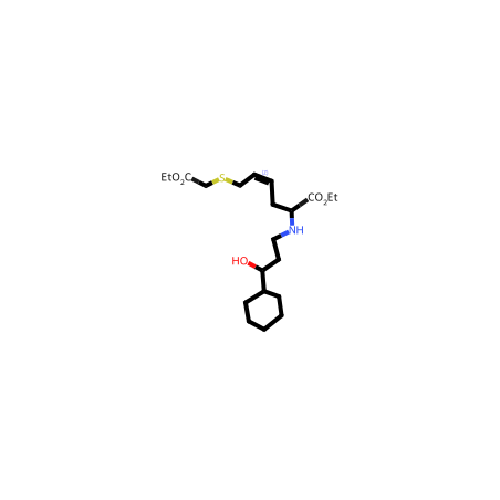 CCOC(=O)CSC/C=C\CC(NCCC(O)C1CCCCC1)C(=O)OCC